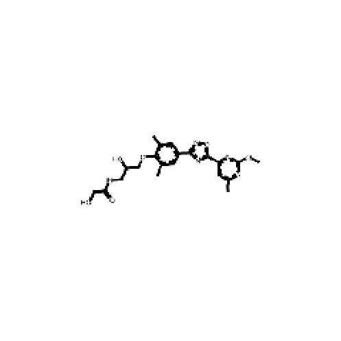 COc1nc(C)cc(-c2nc(-c3cc(C)c(OCC(O)CNC(=O)CO)c(C)c3)no2)n1